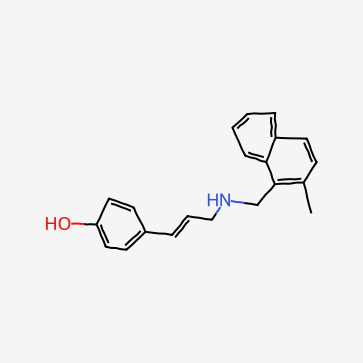 Cc1ccc2ccccc2c1CNC/C=C/c1ccc(O)cc1